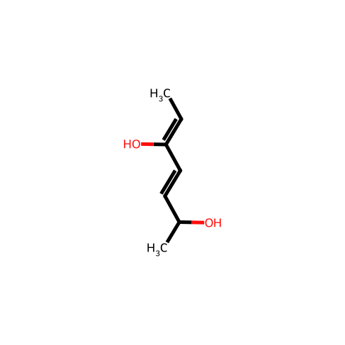 CC=C(O)C=CC(C)O